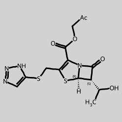 CC(=O)COC(=O)C1=C(CSc2cnn[nH]2)S[C@@H]2[C@@H](C(C)O)C(=O)N12